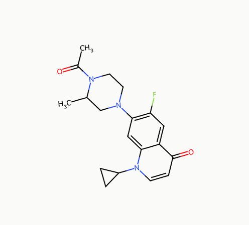 CC(=O)N1CCN(c2cc3c(cc2F)c(=O)ccn3C2CC2)CC1C